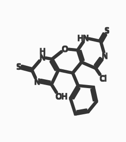 Oc1nc(=S)[nH]c2c1C(c1ccccc1)c1c(Cl)nc(=S)[nH]c1O2